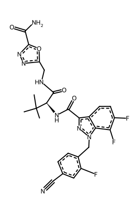 CC(C)(C)[C@H](NC(=O)c1nn(Cc2ccc(C#N)cc2F)c2c(F)c(F)ccc12)C(=O)NCc1nnc(C(N)=O)o1